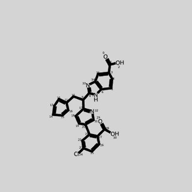 O=C(O)c1ccc2[nH]c(C(Cc3ccccc3)c3ccc(-c4cc(Cl)ccc4C(=O)O)cn3)nc2c1